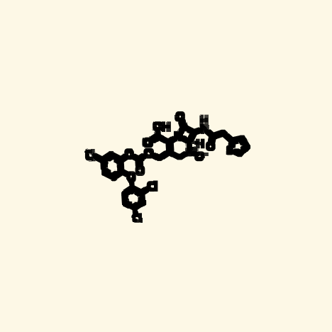 O=C(Cc1cccs1)NC1C(=O)N2C(C(=O)O)=C(COC(=O)Oc3cc(Cl)ccc3Oc3ccc(Cl)cc3Cl)C[S+]([O-])[C@H]12